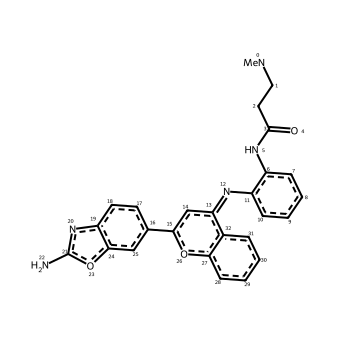 CNCCC(=O)Nc1ccccc1N=c1cc(-c2ccc3nc(N)oc3c2)oc2ccccc12